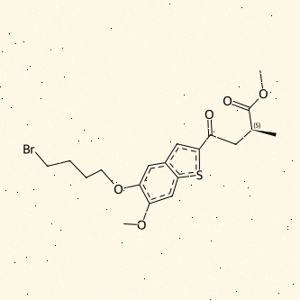 COC(=O)[C@@H](C)CC(=O)c1cc2cc(OCCCCBr)c(OC)cc2s1